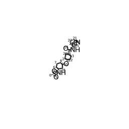 CS(=O)(=O)Nc1cccc(Oc2ccc(C(=O)NC3CN4CCC3CC4)cc2)c1